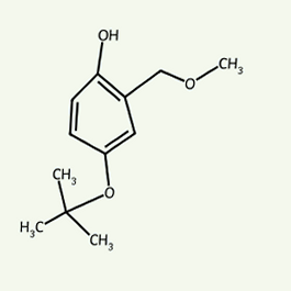 COCc1cc(OC(C)(C)C)ccc1O